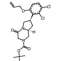 C=CCOc1ccc(Cl)c(Cl)c1[C@H]1C[C@H]2CN(C(=O)OC(C)(C)C)CC(=O)N2C1